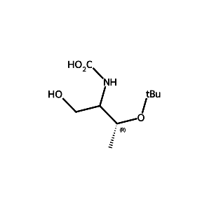 C[C@@H](OC(C)(C)C)C(CO)NC(=O)O